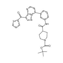 CC(C)(C)OC(=O)N1CCC(C(=O)Nc2cccc(-c3ccnc4c(C(=O)c5cccs5)cnn34)c2)CC1